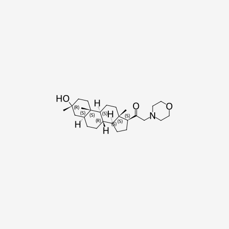 C[C@@]1(O)CC[C@@]2(C)[C@@H](CC[C@@H]3[C@@H]2CC[C@]2(C)[C@@H](C(=O)CN4CCOCC4)CC[C@@H]32)C1